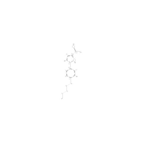 CCCCCc1ccc(-c2ccc(C(C)=O)o2)cc1